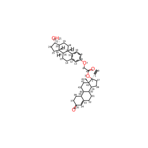 C#C[C@]1(OC(=O)COc2ccc3c(c2)CC[C@@H]2[C@@H]3CC[C@]3(C)[C@@H](O)CC[C@@H]23)CCC2C3CCC4=CC(=O)CCC4C3CC[C@@]21C